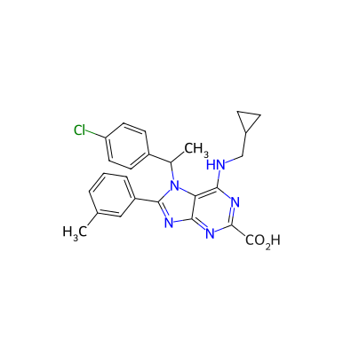 Cc1cccc(-c2nc3nc(C(=O)O)nc(NCC4CC4)c3n2C(C)c2ccc(Cl)cc2)c1